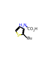 CCC(C)c1cccs1.NC(=O)O